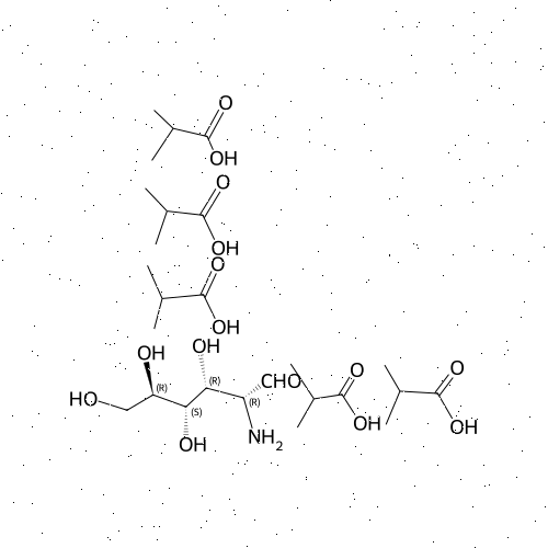 CC(C)C(=O)O.CC(C)C(=O)O.CC(C)C(=O)O.CC(C)C(=O)O.CC(C)C(=O)O.N[C@@H](C=O)[C@@H](O)[C@H](O)[C@H](O)CO